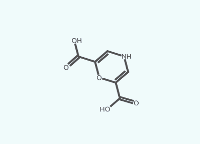 O=C(O)C1=CNC=C(C(=O)O)O1